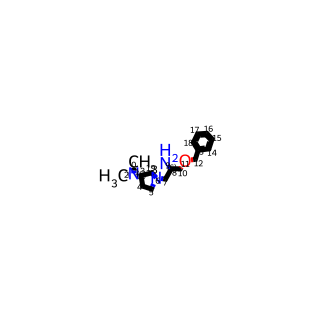 CN(C)[C@H]1CCN(C[C@H](N)COCc2ccccc2)C1